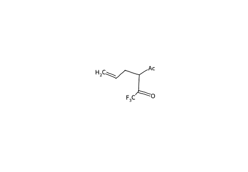 C=CCC(C(C)=O)C(=O)C(F)(F)F